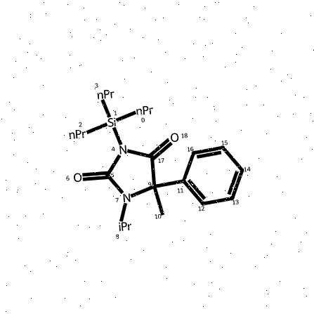 CCC[Si](CCC)(CCC)N1C(=O)N(C(C)C)C(C)(c2ccccc2)C1=O